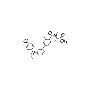 CCN(c1ccc(Cl)cc1)c1cccc(-c2ccc(C(=O)N(C)C(C)C(=O)O)c(C)c2)c1